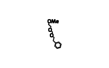 COCCOCOCCc1ccccc1